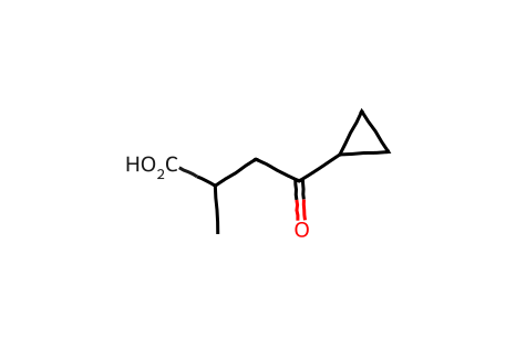 CC(CC(=O)C1CC1)C(=O)O